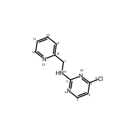 Clc1ccnc(NCc2ccccn2)n1